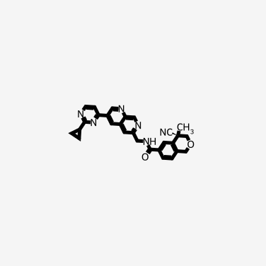 C[C@@]1(C#N)COCc2ccc(C(=O)NCc3cc4cc(-c5ccnc(C6CC6)n5)cnc4cn3)cc21